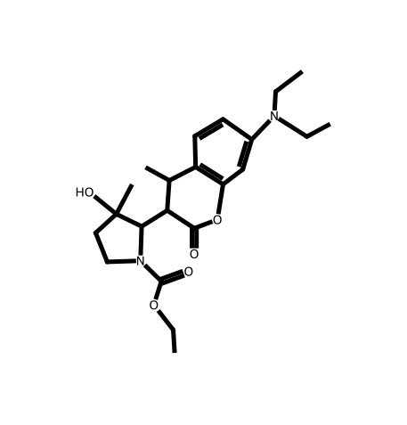 CCOC(=O)N1CCC(C)(O)C1C1C(=O)Oc2cc(N(CC)CC)ccc2C1C